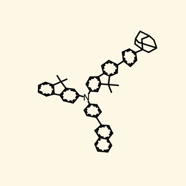 CC1(C)c2ccccc2-c2ccc(N(c3ccc(-c4ccc5ccccc5c4)cc3)c3ccc4c(c3)C(C)(C)c3cc(-c5ccc(C67CC8CC(CC(C8)C6)C7)cc5)ccc3-4)cc21